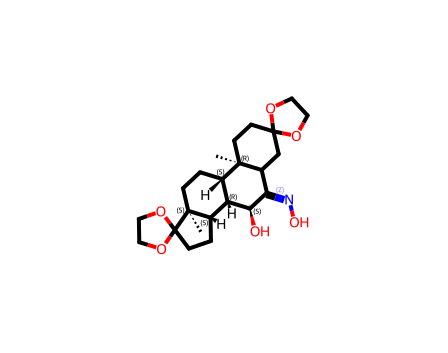 C[C@]12CCC3(CC1/C(=N/O)[C@@H](O)[C@@H]1[C@@H]2CC[C@@]2(C)[C@H]1CCC21OCCO1)OCCO3